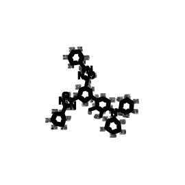 Cc1c(-c2cc(-c3nc(-c4ccccc4)no3)cc(-c3nc(-c4ccccc4)no3)c2)ccc(N(c2ccccc2)c2ccccc2)c1C